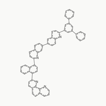 c1ccc(-c2cc(-c3ccccc3)cc(-c3ccc4cc(-c5ccc6ccc(-c7ccc(-c8ccc9ccc%10cccnc%10c9n8)c8ccccc78)nc6c5)ccc4n3)c2)cc1